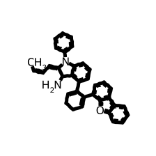 C/C=C\C=C1/C(N)c2c(C3=CCCC=C3c3cccc4c3oc3ccccc34)cccc2N1c1ccccc1